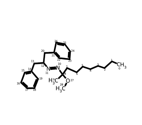 CCCCCCCCC(C)(N=NC(Cc1ccccc1)Cc1ccccc1)OC